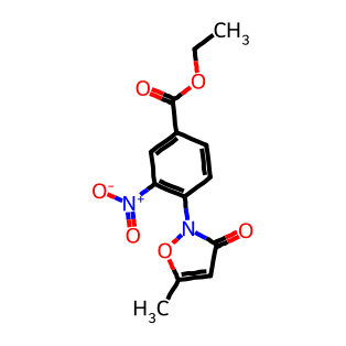 CCOC(=O)c1ccc(-n2oc(C)cc2=O)c([N+](=O)[O-])c1